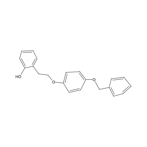 Oc1ccccc1CCOc1ccc(OCc2ccccc2)cc1